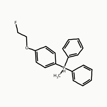 C[PH](c1ccccc1)(c1ccccc1)c1ccc(OCCF)cc1